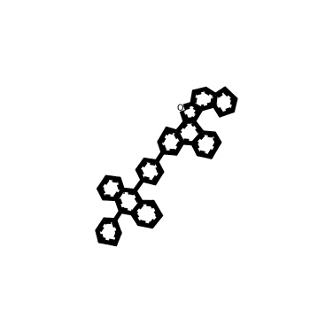 c1ccc(-c2c3ccccc3c(-c3ccc(-c4ccc5c(c4)c4ccccc4c4c5oc5ccc6ccccc6c54)cc3)c3ccccc23)cc1